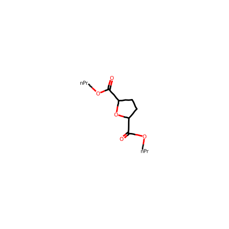 CCCOC(=O)C1CCC(C(=O)OCCC)O1